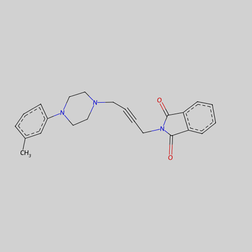 Cc1cccc(N2CCN(CC#CCN3C(=O)c4ccccc4C3=O)CC2)c1